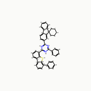 c1ccc(-c2nc(-c3ccc4c(c3)C3(CCCCC3)c3ccccc3-4)nc(-c3cccc4c3sc3c(-c5ccccc5)cccc34)n2)cc1